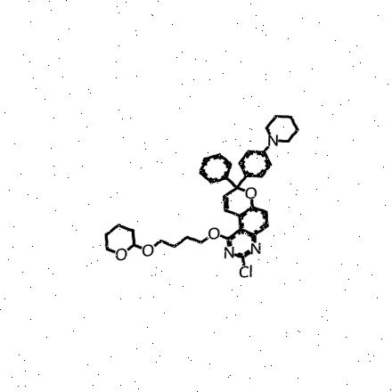 Clc1nc(OCCCCOC2CCCCO2)c2c3c(ccc2n1)OC(c1ccccc1)(c1ccc(N2CCCCC2)cc1)C=C3